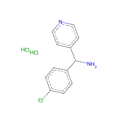 Cl.Cl.NC(c1ccncc1)c1ccc(Cl)cc1